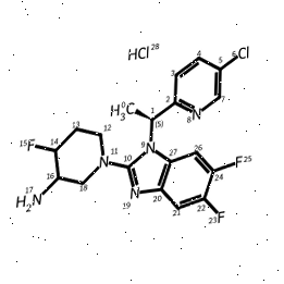 C[C@@H](c1ccc(Cl)cn1)n1c(N2CCC(F)C(N)C2)nc2cc(F)c(F)cc21.Cl